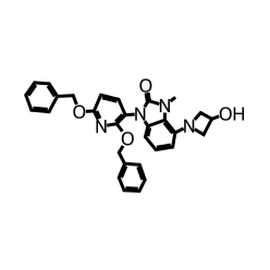 Cn1c(=O)n(-c2ccc(OCc3ccccc3)nc2OCc2ccccc2)c2cccc(N3CC(O)C3)c21